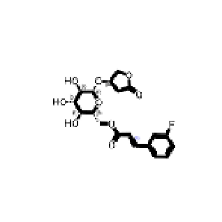 O=C(/C=C/c1cccc(F)c1)OC[C@H]1O[C@@H](O[C@H]2COC(=O)C2)[C@H](O)[C@@H](O)[C@@H]1O